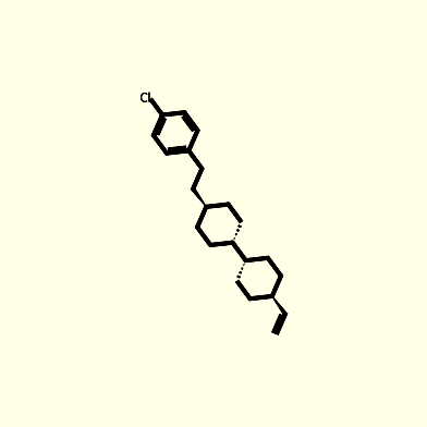 C=C[C@H]1CC[C@H]([C@H]2CC[C@H](CCc3ccc(Cl)cc3)CC2)CC1